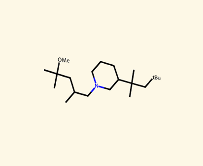 COC(C)(C)CC(C)CN1CCCC(C(C)(C)CC(C)(C)C)C1